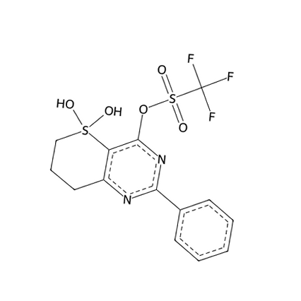 O=S(=O)(Oc1nc(-c2ccccc2)nc2c1S(O)(O)CCC2)C(F)(F)F